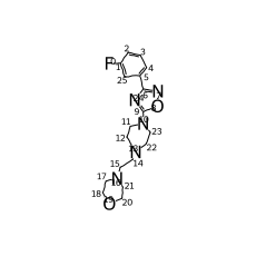 Fc1cccc(-c2noc(N3CCN(CCN4CCOCC4)CC3)n2)c1